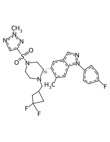 Cc1cc2c(cnn2-c2ccc(F)cc2)cc1[C@H]1CN(S(=O)(=O)c2cnn(C)n2)CCN1CC1CC(F)(F)C1